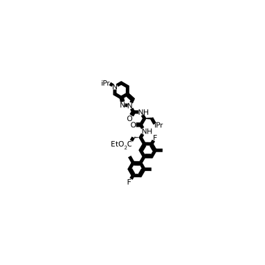 CCOC(=O)C[C@H](NC(=O)[C@H](CC(C)C)NC(=O)n1cc2c(n1)CN(C(C)C)CC2)c1cc(-c2c(C)cc(F)cc2C)cc(C)c1F